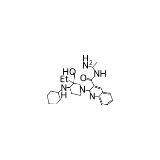 CCC1(CO)CN(c2nc3ccccc3cc2C(=O)NC(C)N)CCC1NC1CCCCC1